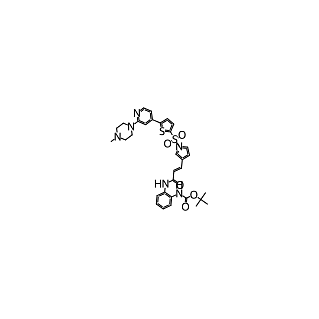 CN1CCN(c2cc(-c3ccc(S(=O)(=O)n4ccc(C=CC(=O)Nc5ccccc5NC(=O)OC(C)(C)C)c4)s3)ccn2)CC1